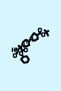 CC(C)(C)OC(=O)C1CCN(N2CCN(C(C)(NC=O)C(=O)OC3CCCCC3)CC2)CC1